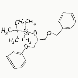 CC(C)(C)[Si](C)(C)O[C@@H](COCc1ccccc1)COc1ccccc1